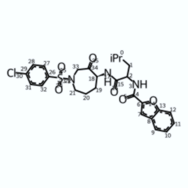 CC(C)CC(NC(=O)c1cc2ccccc2o1)C(=O)N[C@H]1CCCN(S(=O)(=O)c2ccc(Cl)cc2)CC1=O